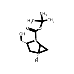 CC(C)(C)OC(=O)N1C2C[C@H]2C[C@@H]1CO